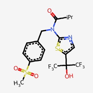 CC(C)C(=O)N(Cc1ccc(S(C)(=O)=O)cc1)c1ncc(C(O)(C(F)(F)F)C(F)(F)F)s1